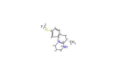 C[C@@H](Cc1ccc(SC(F)(F)F)cc1)C1=NCCCN1